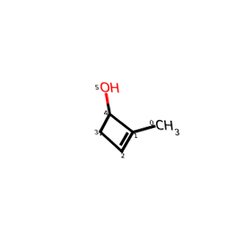 CC1=C[CH]C1O